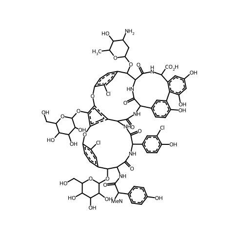 CNC(C(=O)NC1C(=O)NC(c2ccc(O)c(Cl)c2)C(=O)NC2C(=O)NC3C(=O)NC(C(=O)NC(C(=O)O)c4cc(O)cc(O)c4-c4cc3ccc4O)C(OC3CC(N)C(O)C(C)O3)c3ccc(c(Cl)c3)Oc3cc2cc(c3OC2OC(CO)C(O)C(O)C2O)Oc2ccc(cc2Cl)C1OC1OC(CO)C(O)C(O)C1O)c1ccc(O)cc1